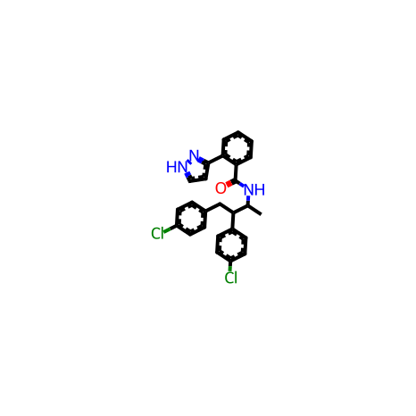 CC(NC(=O)c1ccccc1-c1cc[nH]n1)C(Cc1ccc(Cl)cc1)c1ccc(Cl)cc1